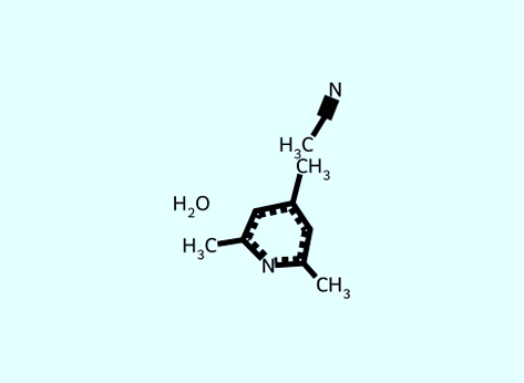 CC#N.Cc1cc(C)nc(C)c1.O